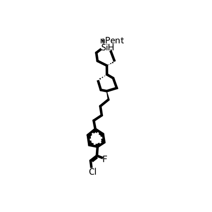 CCCCC[Si@H]1CC[C@H]([C@H]2CC[C@H](CCCCc3ccc(C(F)=CCl)cc3)CC2)CC1